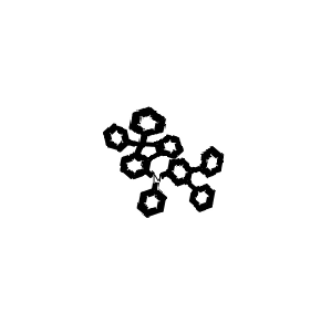 c1ccc(-c2ccc(N(c3ccccc3)c3cccc4c3-c3ccccc3C4(c3ccccc3)c3ccccc3)cc2-c2ccccc2)cc1